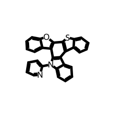 c1ccc(-n2c3ccccc3c3c4c5ccccc5sc4c4oc5ccccc5c4c32)nc1